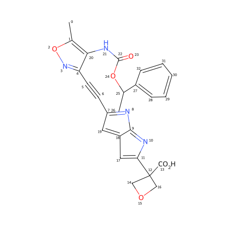 Cc1onc(C#CC2=NC3=NC(C4(C(=O)O)COC4)=CC3=C2)c1NC(=O)OC(C)c1ccccc1